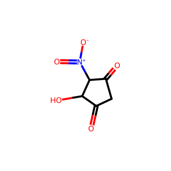 O=C1CC(=O)C([N+](=O)[O-])C1O